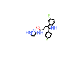 O=C(CCc1c(-c2ccc(F)cc2)[nH]c2ccc(F)cc12)Nc1cc[nH]n1